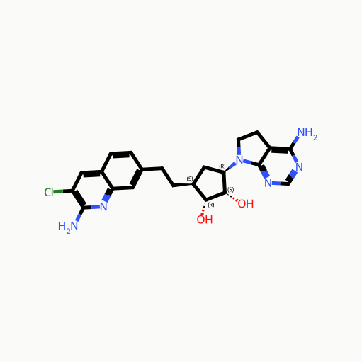 Nc1nc2cc(CC[C@H]3C[C@@H](N4CCc5c(N)ncnc54)[C@H](O)[C@@H]3O)ccc2cc1Cl